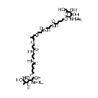 CC(=O)NC(C(O)C(O)C(C)CO)[C@@H](O)OCCCCC(=O)NCCCNC(=O)CCOCC(C)COCCC(=O)NCCCNC(=O)CCCCOC1OC(CO)C(O)C(O)[C@@H]1NC(C)=O